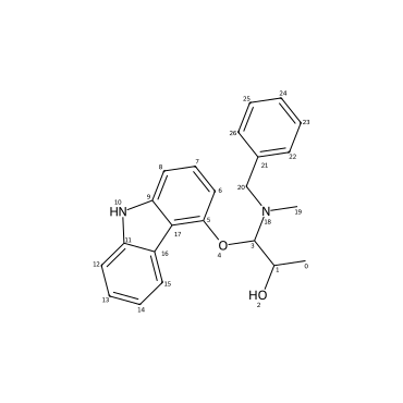 CC(O)C(Oc1cccc2[nH]c3ccccc3c12)N(C)Cc1ccccc1